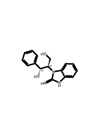 N=c1[nH]c2ccccc2n1[C@H](CO)[C@H](O)c1ccccc1